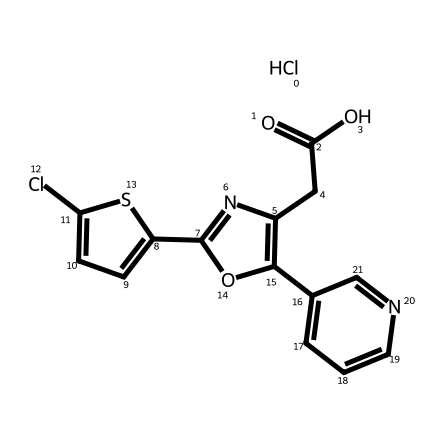 Cl.O=C(O)Cc1nc(-c2ccc(Cl)s2)oc1-c1cccnc1